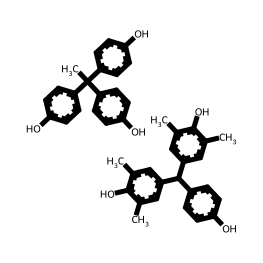 CC(c1ccc(O)cc1)(c1ccc(O)cc1)c1ccc(O)cc1.Cc1cc(C(c2ccc(O)cc2)c2cc(C)c(O)c(C)c2)cc(C)c1O